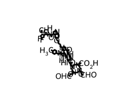 C#C[C@H]1CC(F)(F)CC1C(=O)CNC(=O)c1ccnc2ccc(OCCCCN3CCN(C(=O)CCN/N=C\C(C/C=N/NCN/N=C/c4ccc(C)cc4)NC(=O)CN4CCN(COC=O)CCN(COC=O)CCN(CC(=O)O)CC4)CC3)cc12